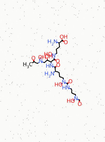 CC(=O)CN(O)CC(O)C(NC(=O)C(N)CCCN(O)C(=O)NCCCN(O)C=O)C(=O)N(O)CCCC(N)C(=O)O